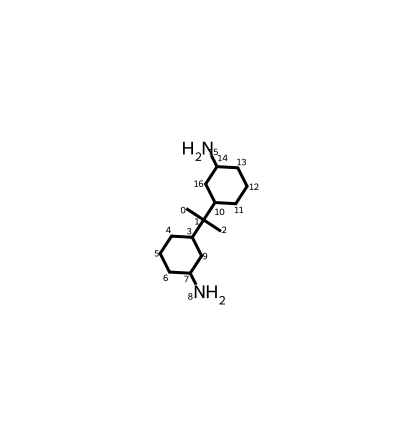 CC(C)(C1CCCC(N)C1)C1CCCC(N)C1